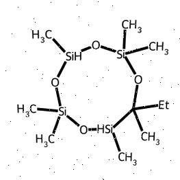 CCC1(C)O[Si](C)(C)O[SiH](C)O[Si](C)(C)O[SiH]1C